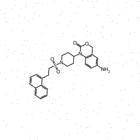 Nc1ccc2c(c1)COC(=O)N2C1CCN(S(=O)(=O)CCc2cccc3ccccc23)CC1